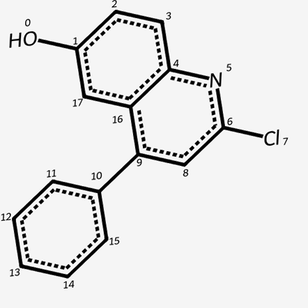 Oc1ccc2nc(Cl)cc(-c3ccccc3)c2c1